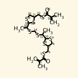 C=C(C)C(=O)SCC1CSC(C(C)SCSC(C)C2SCC(CSC(=O)C(=C)C)S2)S1